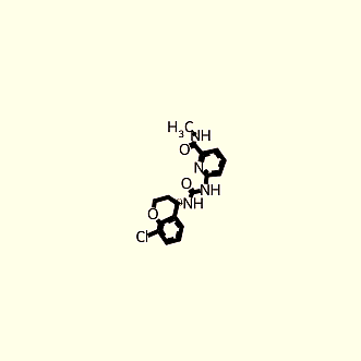 CNC(=O)c1cccc(NC(=O)N[C@H]2CCOc3c(Cl)cccc32)n1